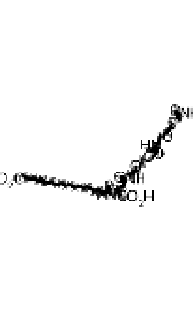 NC(=O)COCCOCCNC(=O)COCCOCCNC(=O)CC[C@H](NC(=O)CCCCCCCCCCCCCCCCCCC(=O)O)C(=O)O